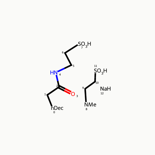 CCCCCCCCCCCC(=O)NCCS(=O)(=O)O.CNCCS(=O)(=O)O.[NaH]